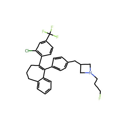 FCCCN1CC(Cc2ccc(C3=C(c4ccc(C(F)(F)F)cc4Cl)CCCc4ccccc43)cc2)C1